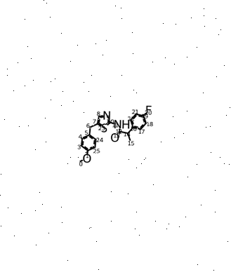 COc1ccc(Cc2cnc(NC(=O)C(C)c3ccc(F)cc3)s2)cc1